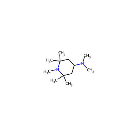 CN(C)C1CC(C)(C)N(C)C(C)(C)C1